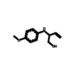 C=CC(CO)Nc1ccc(OC)cc1